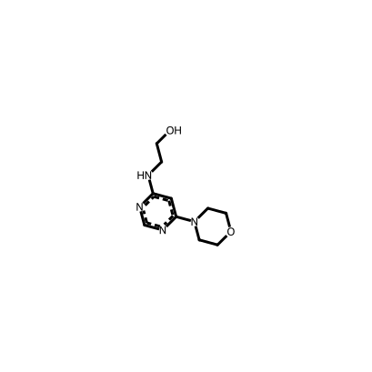 OCCNc1cc(N2CCOCC2)ncn1